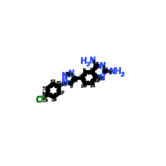 Nc1nc(N)c2cc(-c3cn(-c4ccc(Cl)cc4)nn3)ccc2n1